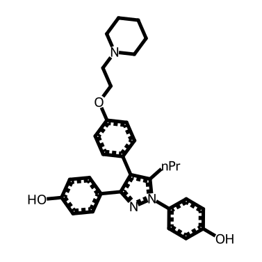 CCCc1c(-c2ccc(OCCN3CCCCC3)cc2)c(-c2ccc(O)cc2)nn1-c1ccc(O)cc1